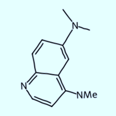 CNc1ccnc2ccc(N(C)C)cc12